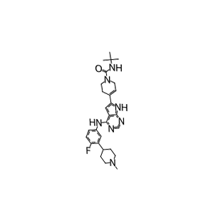 CN1CCC(c2cc(Nc3ncnc4[nH]c(C5=CCN(C(=O)NC(C)(C)C)CC5)cc34)ccc2F)CC1